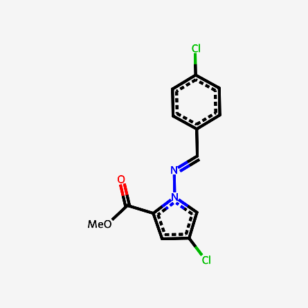 COC(=O)c1cc(Cl)cn1/N=C/c1ccc(Cl)cc1